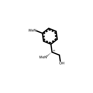 CNc1cccc([C@H](CO)NC)c1